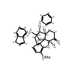 COc1ccc2c3c1O[C@H]1C(=O)CC[C@H]4[C@@H](C2)N(C)CC[C@]314.[CH]1C=Cc2ccccc21.[c]1ccccc1